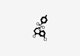 Cc1ccc(S(=O)(=O)N2CCC(=O)c3cc(Cl)ccc32)cc1